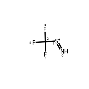 N=[S+]C(F)(F)F